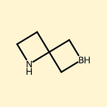 B1CC2(C1)CCN2